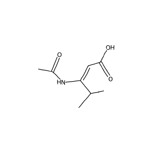 CC(=O)NC(=CC(=O)O)C(C)C